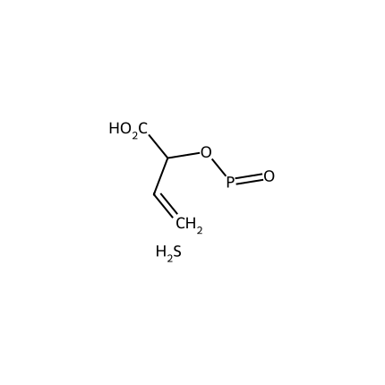 C=CC(OP=O)C(=O)O.S